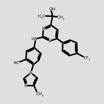 Cc1cn(-c2ccc(Nc3nc(-c4ccc(C(F)(F)F)cc4)cc(C(C)(C)O)n3)cc2C#N)cn1